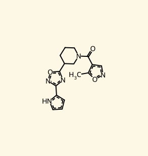 Cc1oncc1C(=O)N1CCCC(c2nc(-c3ccc[nH]3)no2)C1